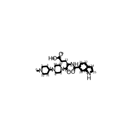 CN1CCC(N2CCN(C(=O)[C@@H](CCC(=O)O)NC(=O)c3ccc4cc[nH]c4c3)CC2)CC1